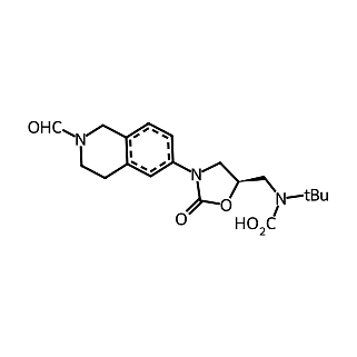 CC(C)(C)N(C[C@@H]1CN(c2ccc3c(c2)CCN(C=O)C3)C(=O)O1)C(=O)O